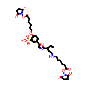 C=C/C(=C\CNCCCCCC(=O)ON1C(=O)CCC1=O)c1ncc(-c2ccc(OCCCCCC(=O)ON3C(=O)CCC3=O)c(S(=O)(=O)O)c2)o1